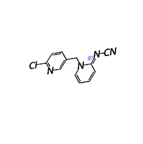 N#C/N=c1\ccccn1Cc1ccc(Cl)nc1